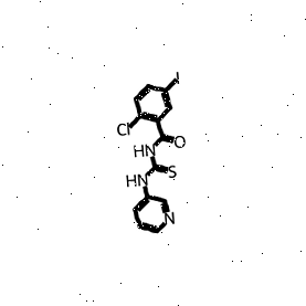 O=C(NC(=S)Nc1cccnc1)c1cc(I)ccc1Cl